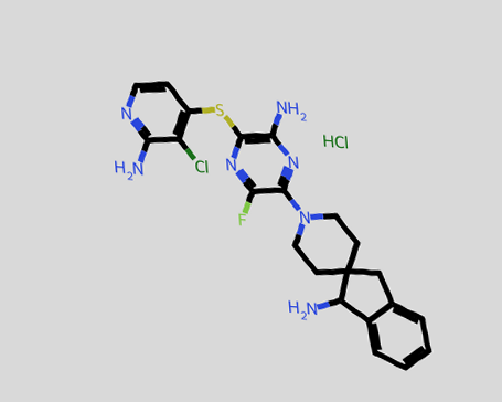 Cl.Nc1nc(N2CCC3(CC2)Cc2ccccc2C3N)c(F)nc1Sc1ccnc(N)c1Cl